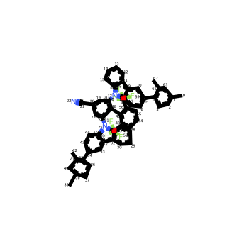 Cc1ccc(-c2ccc3c(c2)c2ccccc2n3-c2cc(C#N)cc(-n3c4ccccc4c4cc(-c5ccc(C)cc5C)ccc43)c2-c2c(C(F)(F)F)cccc2C(F)(F)F)c(C)c1